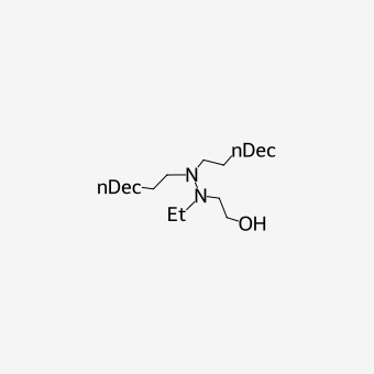 CCCCCCCCCCCCN(CCCCCCCCCCCC)N(CC)CCO